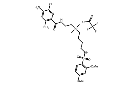 COc1ccc(S(=O)(=O)NCCCC[N+](C)(C)CCNC(=O)c2nc(Cl)c(N)nc2N)c(OC)c1.O=C([O-])C(F)(F)F